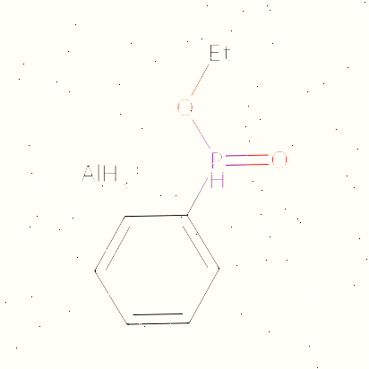 CCO[PH](=O)c1ccccc1.[AlH3]